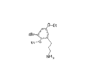 CCOc1cc(CCCN)c(OCC)c(C(C)(C)C)c1